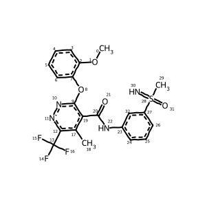 COc1ccccc1Oc1nnc(C(F)(F)F)c(C)c1C(=O)Nc1cccc(S(C)(=N)=O)c1